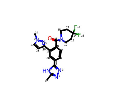 Cc1nnc(-c2ccc(C(=O)N3CCC(F)(F)CC3)c(-c3ccn(C)n3)c2)[nH]1